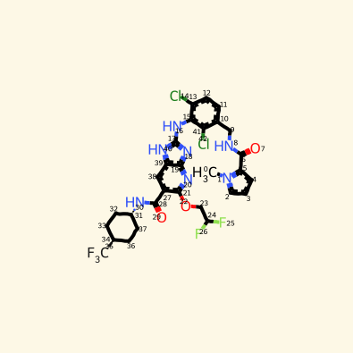 Cn1cccc1C(=O)NCc1ccc(Cl)c(Nc2nc3nc(OCC(F)F)c(C(=O)N[C@H]4CC[C@H](C(F)(F)F)CC4)cc3[nH]2)c1Cl